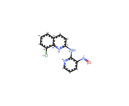 O=Nc1cccnc1Nc1ccc2cccc(Cl)c2n1